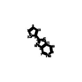 c1csc(-c2nc3cnccc3s2)c1